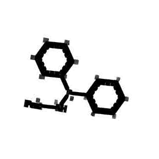 CCCC(C)NP(c1ccccc1)c1ccccc1